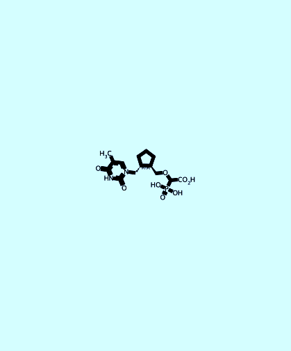 Cc1cn(C[C@@H]2CCC[C@H]2COC(C(=O)O)P(=O)(O)O)c(=O)[nH]c1=O